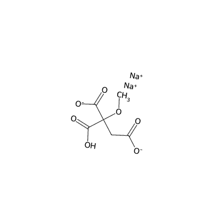 COC(CC(=O)[O-])(C(=O)[O-])C(=O)O.[Na+].[Na+]